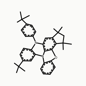 CC(C)(C)c1ccc(N2c3ccc(C(C)(C)C)cc3B3c4ccccc4Oc4c3c2cc2c4C(C)(C)CC2(C)C)cc1